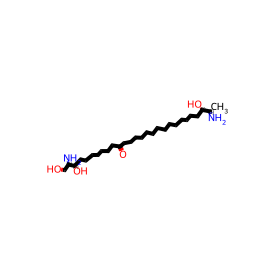 C[C@H](N)[C@H](O)CCCCCCCCCCCCCCC(=O)CCCCCCC[C@@H](O)[C@H](N)CO